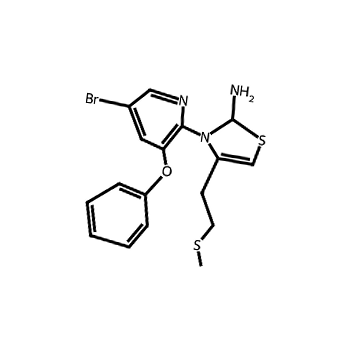 CSCCC1=CSC(N)N1c1ncc(Br)cc1Oc1ccccc1